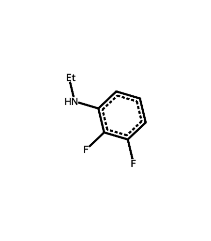 CCNc1cccc(F)c1F